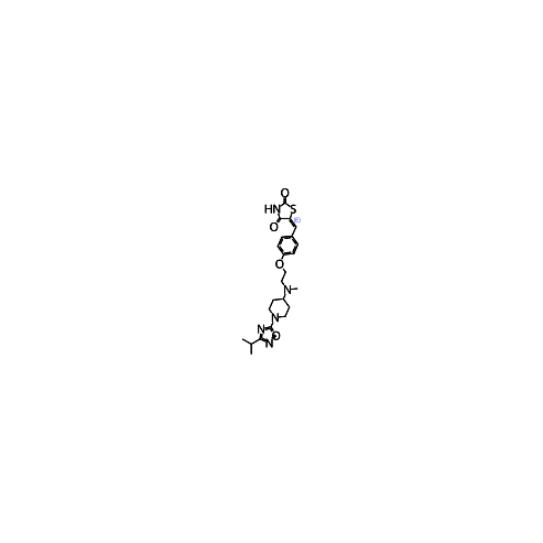 CC(C)c1noc(N2CCC(N(C)CCOc3ccc(/C=C4/SC(=O)NC4=O)cc3)CC2)n1